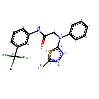 O=C(CN(c1ccccc1)c1nnc(S)s1)Nc1cccc(C(F)(F)F)c1